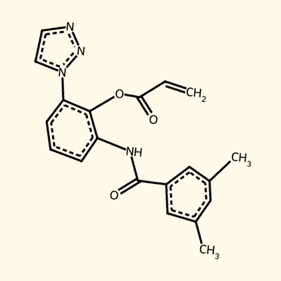 C=CC(=O)Oc1c(NC(=O)c2cc(C)cc(C)c2)cccc1-n1ccnn1